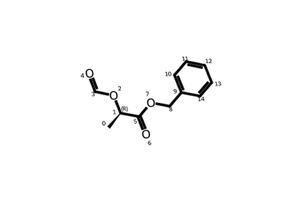 C[C@@H](OC=O)C(=O)OCc1ccccc1